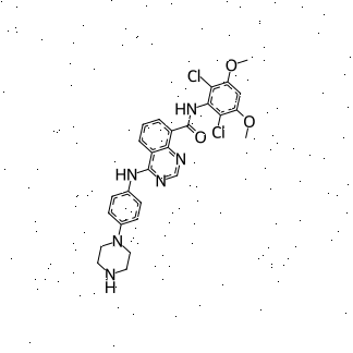 COc1cc(OC)c(Cl)c(NC(=O)c2cccc3c(Nc4ccc(N5CCNCC5)cc4)ncnc23)c1Cl